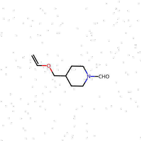 C=COCC1CCN(C=O)CC1